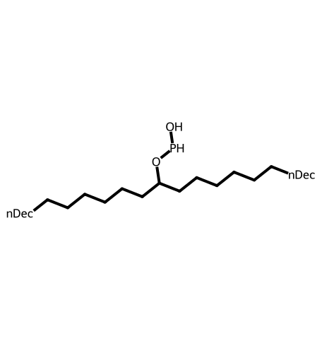 CCCCCCCCCCCCCCCCC(CCCCCCCCCCCCCCCC)OPO